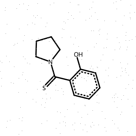 Oc1ccccc1C(=S)N1CCCC1